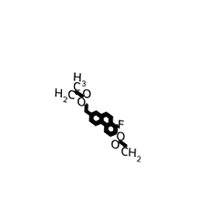 C=CC(=O)Oc1ccc2c(ccc3cc(CCOC(=O)C(=C)C)ccc32)c1F